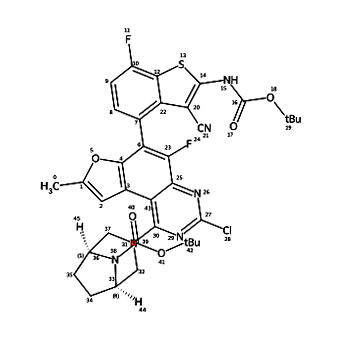 Cc1cc2c(o1)c(-c1ccc(F)c3sc(NC(=O)OC(C)(C)C)c(C#N)c13)c(F)c1nc(Cl)nc(N3C[C@H]4CC[C@@H](C3)N4C(=O)OC(C)(C)C)c12